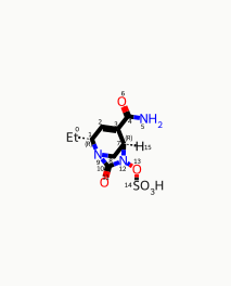 CC[C@@H]1C=C(C(N)=O)[C@@H]2CN1C(=O)N2OS(=O)(=O)O